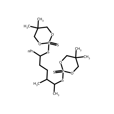 CCCC(CCC(C)C(C)SP1(=S)OCC(C)(C)CO1)SP1(=S)OCC(C)(C)CO1